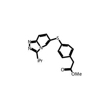 COC(=O)Cc1ccc(Sc2ccc3nnc(C(C)C)n3c2)cc1